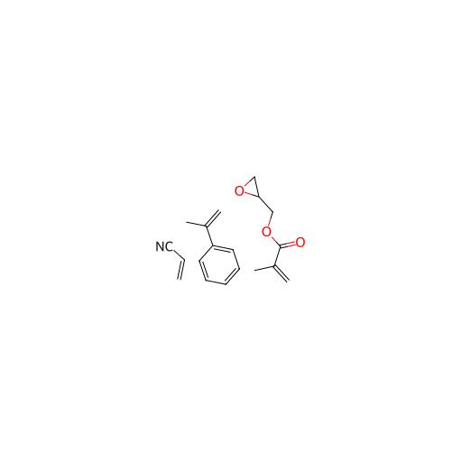 C=C(C)C(=O)OCC1CO1.C=C(C)c1ccccc1.C=CC#N